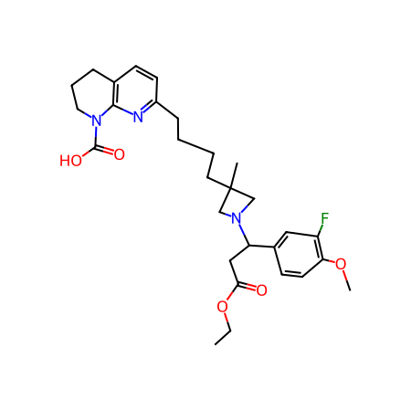 CCOC(=O)CC(c1ccc(OC)c(F)c1)N1CC(C)(CCCCc2ccc3c(n2)N(C(=O)O)CCC3)C1